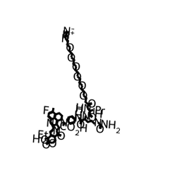 CC[C@@]1(O)C(=O)OCc2c1cc1n(c2=O)Cc2c-1nc1cc(F)c(C)c3c1c2[C@@H](N(C(=O)O)c1ccc(NC(=O)C(CCCNC(N)=O)NC(=O)C(NC(=O)CCOCCOCCOCCOCCOCCOCCN=[N+]=[N-])C(C)C)cc1)CC3